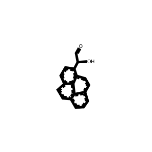 O=CC(O)c1ccc2ccc3cccc4ccc1c2c34